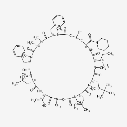 CC[C@H](C)[C@H]1C(=O)N[C@H](C(=O)N2CCCCC2)C[S+]([O-])CC(=O)N(C)[C@@H](Cc2ccccc2)C(=O)N(C)[C@@H](C)C(=O)N(C)[C@@H](Cc2ccccc2)C(=O)N(C)[C@@H](CC(C)C)C(=O)N[C@@H]([C@@H](C)O)C(=O)N(C)CC(=O)N(C)[C@@H](CC(C)C)C(=O)N(C)[C@@H](COC(C)(C)C)C(=O)N1C